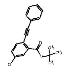 CC(C)(C)OC(=O)c1cc(Cl)ccc1C#Cc1ccccc1